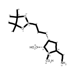 CC1(C)OB(CCC[C@@H]2CC(CN)N(C(=O)O)[C@@H]2C(=O)O)OC1(C)C